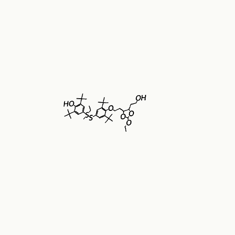 CCOC1OC(CCO)C(CCOc2c(C(C)(C)C)cc(SS(C)(CC)c3cc(C(C)(C)C)c(O)c(C(C)(C)C)c3)cc2C(C)(C)C)O1